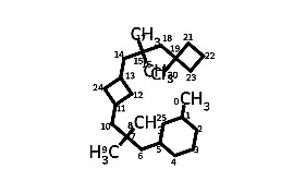 CC1CCCC(CC(C)(C)CC2CC(CC(C)(C)CC3(Cl)CCC3)C2)C1